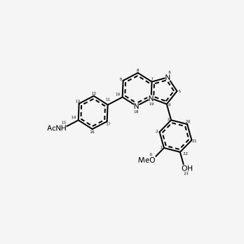 COc1cc(-c2cnc3ccc(-c4ccc(NC(C)=O)cc4)nn23)ccc1O